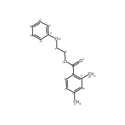 Cc1ccc(C(=O)OCCOc2ccccc2)c(C)c1